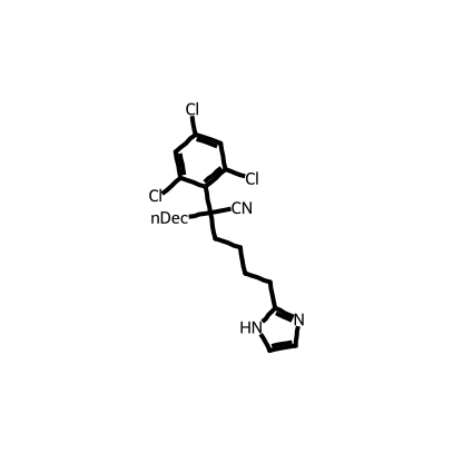 CCCCCCCCCCC(C#N)(CCCCc1ncc[nH]1)c1c(Cl)cc(Cl)cc1Cl